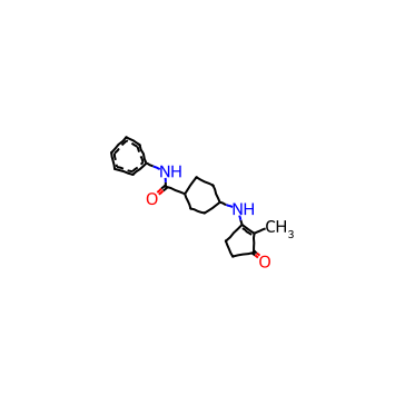 CC1=C(NC2CCC(C(=O)Nc3ccccc3)CC2)CCC1=O